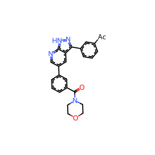 CC(=O)c1cccc(-c2n[nH]c3ncc(-c4cccc(C(=O)N5CCOCC5)c4)cc23)c1